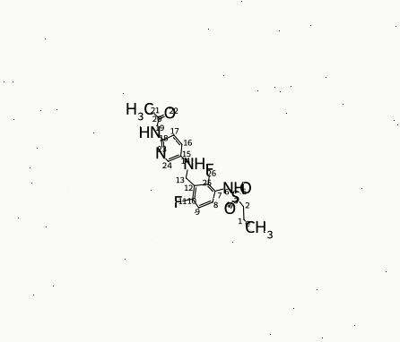 CCCS(=O)(=O)Nc1ccc(F)c(CNc2ccc(NC(C)=O)nc2)c1F